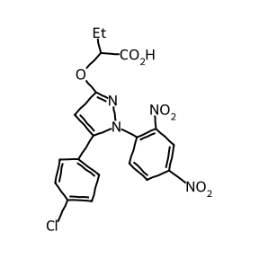 CCC(Oc1cc(-c2ccc(Cl)cc2)n(-c2ccc([N+](=O)[O-])cc2[N+](=O)[O-])n1)C(=O)O